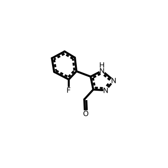 O=Cc1nn[nH]c1-c1ccccc1F